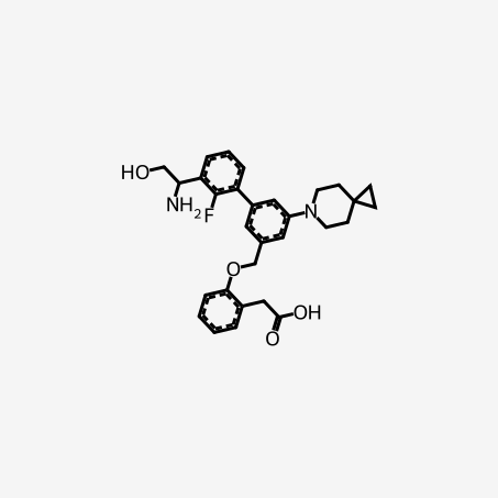 NC(CO)c1cccc(-c2cc(COc3ccccc3CC(=O)O)cc(N3CCC4(CC3)CC4)c2)c1F